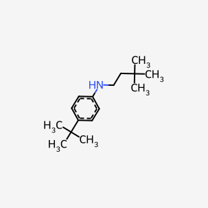 CC(C)(C)CCNc1ccc(C(C)(C)C)cc1